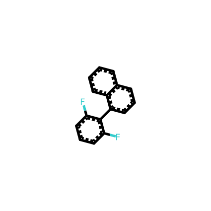 Fc1cccc(F)c1-c1cccc2ccccc12